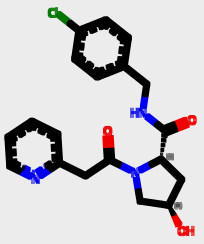 O=C(NCc1ccc(Cl)cc1)[C@@H]1C[C@@H](O)CN1C(=O)Cc1ccccn1